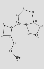 CC(C)OCC1CCC1N1CCCC2COCC21